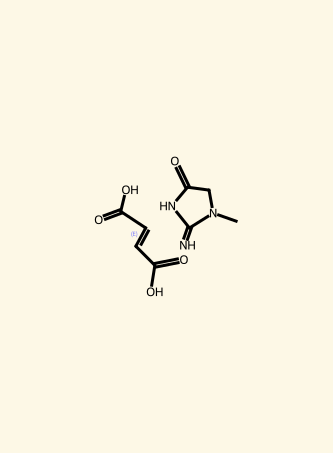 CN1CC(=O)NC1=N.O=C(O)/C=C/C(=O)O